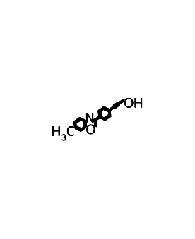 Cc1ccc2c(c1)OCC(c1ccc(C#CCO)cc1)=N2